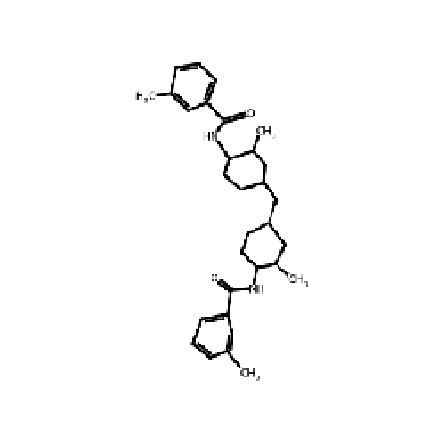 Cc1cccc(C(=O)NC2CCC(C[C@@H]3CCC(NC(=O)c4cccc(C)c4)[C@H](C)C3)CC2C)c1